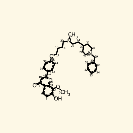 COc1c(O)ccc2c(=O)cc(-c3ccc(OCCCCN(C)CCC4CCN(Cc5ccccc5)CC4)cc3)oc12